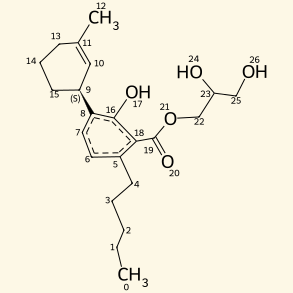 CCCCCc1ccc([C@@H]2C=C(C)CCC2)c(O)c1C(=O)OCC(O)CO